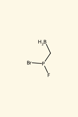 BCP(F)Br